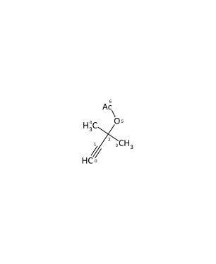 C#CC(C)(C)OC(C)=O